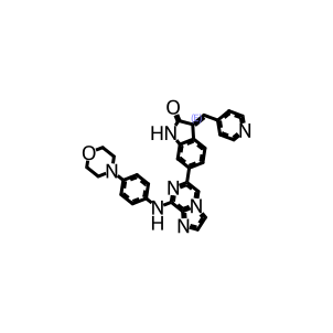 O=C1Nc2cc(-c3cn4ccnc4c(Nc4ccc(N5CCOCC5)cc4)n3)ccc2/C1=C\c1ccncc1